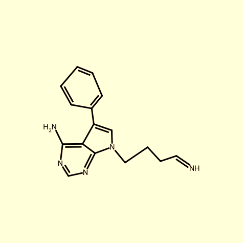 N=CCCCn1cc(-c2ccccc2)c2c(N)ncnc21